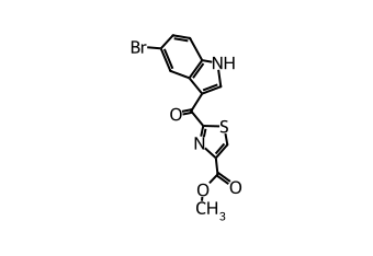 COC(=O)c1csc(C(=O)c2c[nH]c3ccc(Br)cc23)n1